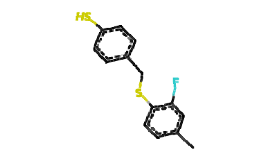 Cc1ccc(SCc2ccc(S)cc2)c(F)c1